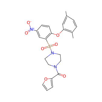 Cc1ccc(C)c(Oc2ccc([N+](=O)[O-])cc2S(=O)(=O)N2CCN(C(=O)c3ccco3)CC2)c1